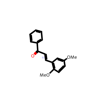 COc1ccc(OC)c(/C=C/C(=O)c2ccccc2)c1